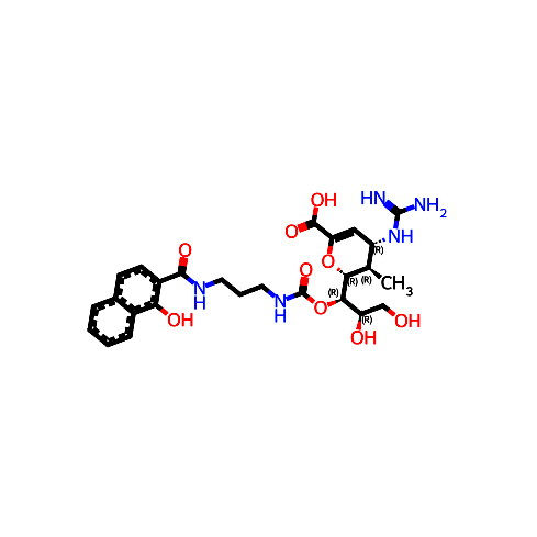 C[C@H]1[C@H]([C@H](OC(=O)NCCCNC(=O)c2ccc3ccccc3c2O)[C@H](O)CO)OC(C(=O)O)=C[C@@H]1NC(=N)N